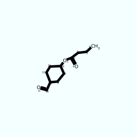 CCCC(=O)OC1CCC(C=O)CC1